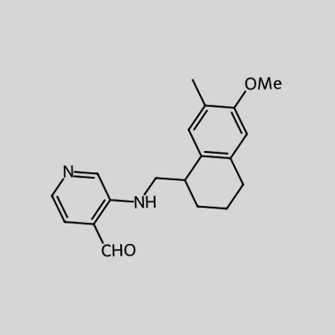 COc1cc2c(cc1C)C(CNc1cnccc1C=O)CCC2